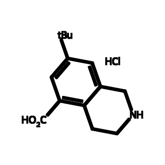 CC(C)(C)c1cc2c(c(C(=O)O)c1)CCNC2.Cl